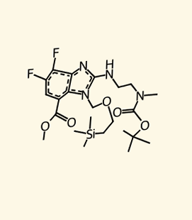 COC(=O)c1cc(F)c(F)c2nc(NCCN(C)C(=O)OC(C)(C)C)n(COCC[Si](C)(C)C)c12